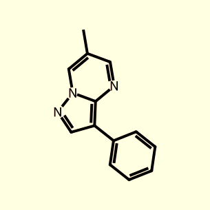 Cc1cnc2c(-c3ccccc3)cnn2c1